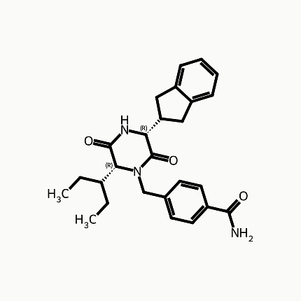 CCC(CC)[C@@H]1C(=O)N[C@H](C2Cc3ccccc3C2)C(=O)N1Cc1ccc(C(N)=O)cc1